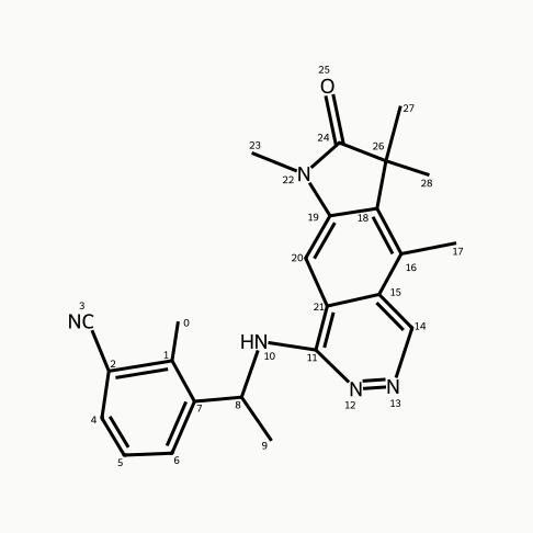 Cc1c(C#N)cccc1C(C)Nc1nncc2c(C)c3c(cc12)N(C)C(=O)C3(C)C